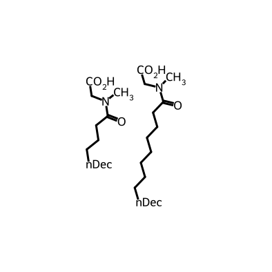 CCCCCCCCCCCCCC(=O)N(C)CC(=O)O.CCCCCCCCCCCCCCCCCC(=O)N(C)CC(=O)O